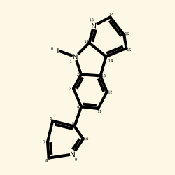 In1c2cc(-c3cccnc3)ccc2c2cccnc21